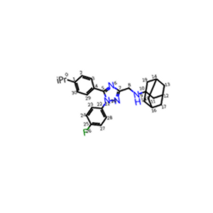 CC(C)c1ccc(-c2nc(CNC34CC5CC(CC(C5)C3)C4)nn2-c2ccc(F)cc2)cc1